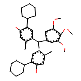 COc1cc(C(c2cc(C3CCCCC3)c(O)cc2C)c2cc(C3CCCCC3)c(O)cc2C)cc(OC)c1OC